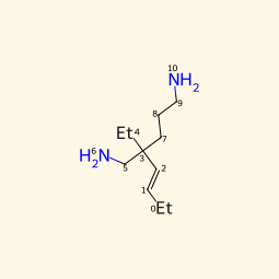 CCC=CC(CC)(CN)CCCN